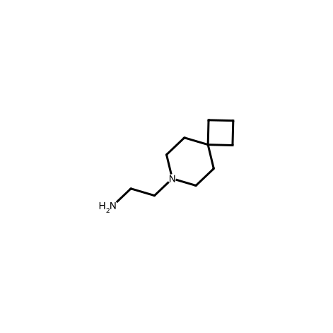 NCCN1CCC2(CCC2)CC1